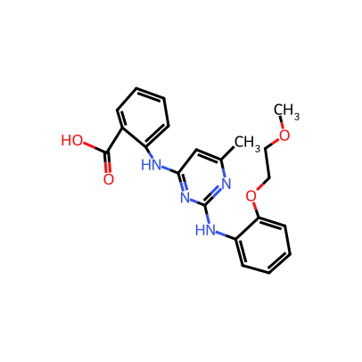 COCCOc1ccccc1Nc1nc(C)cc(Nc2ccccc2C(=O)O)n1